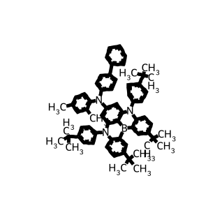 Cc1ccc(N(c2ccc(-c3ccccc3)cc2)c2cc3c4c(c2)N(c2ccc(C(C)(C)C)cc2)c2ccc(C(C)(C)C)cc2B4c2cc(C(C)(C)C)ccc2N3c2ccc(C(C)(C)C)cc2)c(C)c1